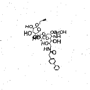 C#CCCO[C@@H]1O[C@H](CO[C@]2(C(=O)O)C[C@H](OC(C)=O)[C@@H](NC(=O)CO)[C@H]([C@H](O)[C@H](O)CNC(=O)Cc3ccc(-c4ccccc4)cc3)O2)[C@H](O)[C@H](O)[C@H]1O